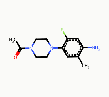 CC(=O)N1CCN(c2cc(C)c(N)cc2F)CC1